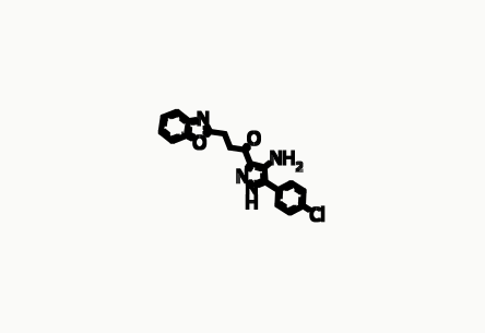 Nc1c(C(=O)CCc2nc3ccccc3o2)n[nH]c1-c1ccc(Cl)cc1